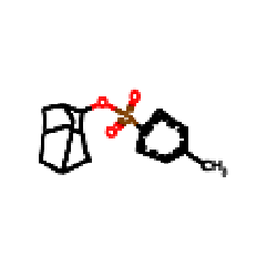 Cc1ccc(S(=O)(=O)OC2C3CC4CC(C3)CC2C4)cc1